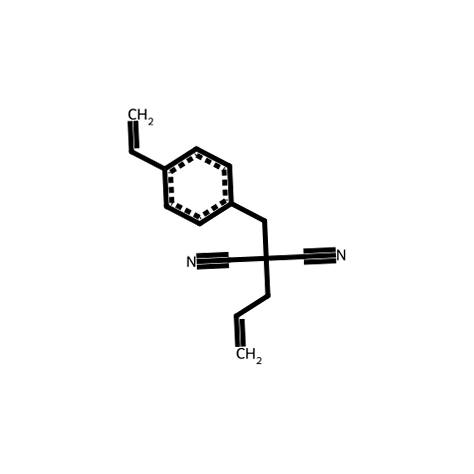 C=CCC(C#N)(C#N)Cc1ccc(C=C)cc1